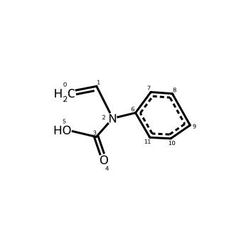 C=CN(C(=O)O)c1ccccc1